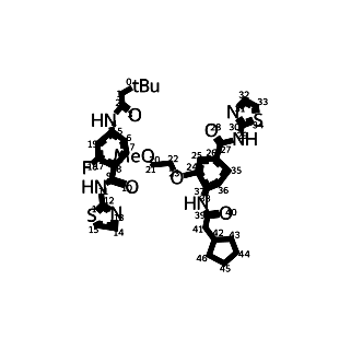 CC(C)(C)CC(=O)Nc1ccc(C(=O)Nc2nccs2)c(F)c1.COCCOc1cc(C(=O)Nc2nccs2)ccc1NC(=O)CC1CCCC1